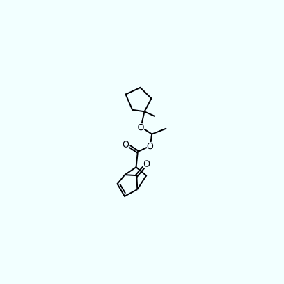 CC(OC(=O)C1CC2C=CC1C2=O)OC1(C)CCCC1